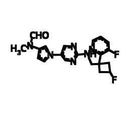 CN(C=O)c1ccn(-c2cnc(NCC3(c4ncccc4F)CC(F)C3)nc2)c1